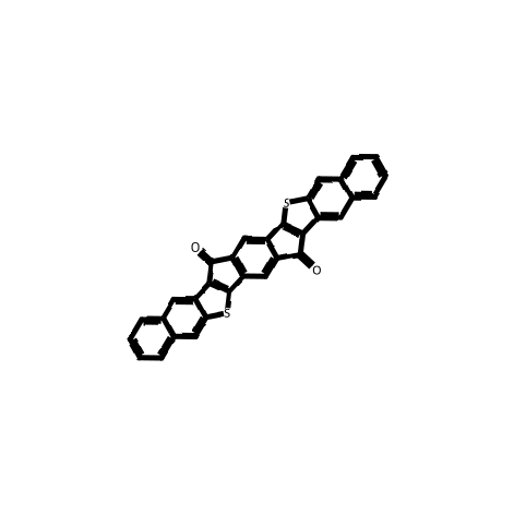 O=c1c2cc3c(cc2c2sc4cc5ccccc5cc4c12)c(=O)c1c2cc4ccccc4cc2sc31